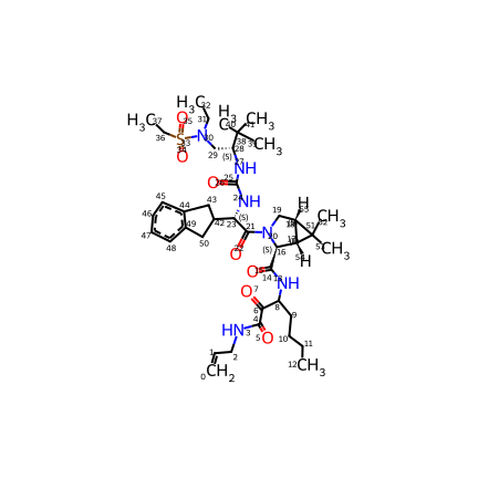 C=CCNC(=O)C(=O)C(CCCC)NC(=O)[C@@H]1[C@@H]2[C@H](CN1C(=O)[C@@H](NC(=O)N[C@H](CN(CC)S(=O)(=O)CC)C(C)(C)C)C1Cc3ccccc3C1)C2(C)C